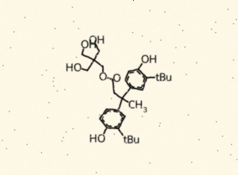 CC(C)(C)c1cc(C(C)(CC(=O)OCC(CO)(CO)CO)c2ccc(O)c(C(C)(C)C)c2)ccc1O